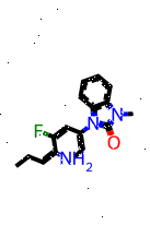 C\C=C(/C=C(F)\C(N)=C/CC)n1c(=O)n(C)c2ccccc21